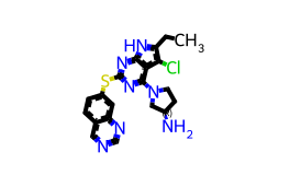 CCc1[nH]c2nc(Sc3ccc4cncnc4c3)nc(N3CC[C@@H](N)C3)c2c1Cl